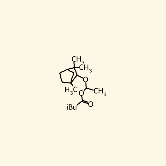 CCC(C)C(=O)OC(C)OC1C2(C)CCC(C2)C1(C)C